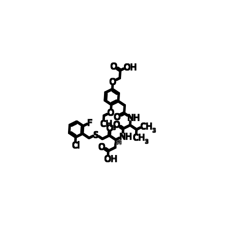 CCOc1ccc(OCC(=O)O)cc1CC(=O)NC(C(=O)N[C@@H](CC(=O)O)C(=O)CSCc1c(F)cccc1Cl)C(C)C